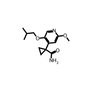 COc1cc(C2(C(N)=O)CC2)c(OCC(C)C)cn1